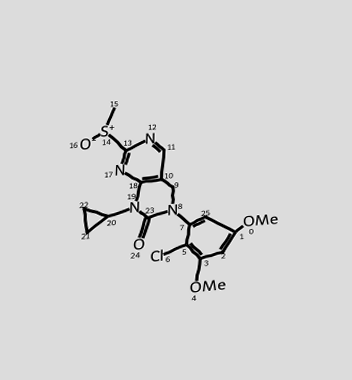 COc1cc(OC)c(Cl)c(N2Cc3cnc([S+](C)[O-])nc3N(C3CC3)C2=O)c1